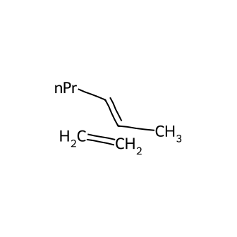 C=C.CC=CCCC